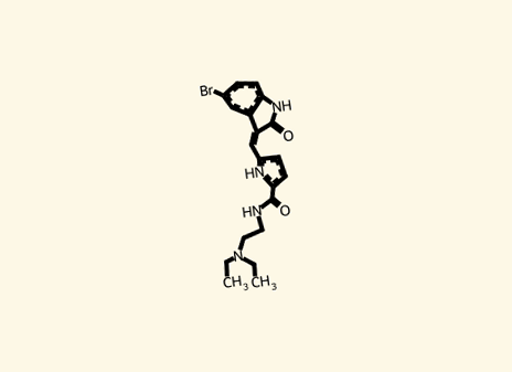 CCN(CC)CCNC(=O)c1ccc(C=C2C(=O)Nc3ccc(Br)cc32)[nH]1